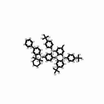 Cc1cc2c3c(c1)N(c1ccc(C(C)(C)C)cc1)c1cc(N4c5ccc(-c6ccccc6)cc5C5(C)CCCCC45C)ccc1B3c1cc(C(C)(C)C)ccc1N2c1ccc(C(C)(C)C)cc1